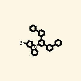 Brc1ccc2c(c1)c1ccccc1n2-c1cc(-c2cccc(-c3ccccc3)c2)cc(-c2cccc(-c3ccccc3)c2)c1